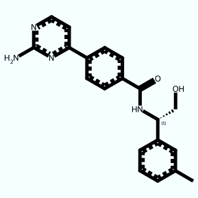 Cc1cccc([C@@H](CO)NC(=O)c2ccc(-c3ccnc(N)n3)cc2)c1